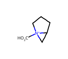 O=C(O)[N+]12CCCC1C2